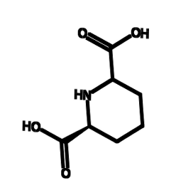 O=C(O)C1CCC[C@@H](C(=O)O)N1